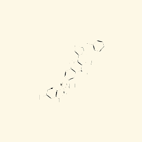 O=c1c(O)c(C2=COC(Cc3ccccc3)O2)oc2ccc(NS(=O)(=O)c3ccc(F)cc3F)cc12